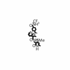 CSc1cc(C)[nH]c(=O)c1CNC(=O)c1c(C)n([C@H](C)C2CCC(C(=O)NCC(F)(F)F)CC2)c2ncccc12